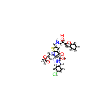 CN(Cc1cc2c(=O)c(C(=O)NCc3ccc(Cl)cc3)cn(CC3COC(C)(C)O3)c2s1)CC(O)c1cc2ccccc2o1